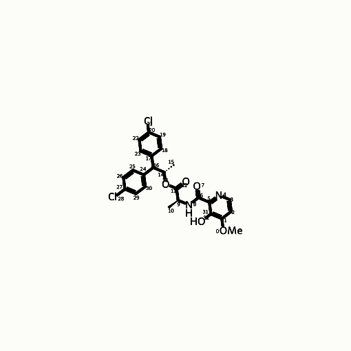 COc1ccnc(C(=O)N[C@@H](C)C(=O)O[C@@H](C)C(c2ccc(Cl)cc2)c2ccc(Cl)cc2)c1O